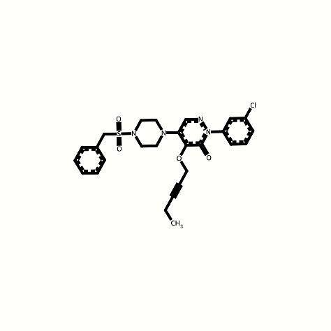 CCC#CCOc1c(N2CCN(S(=O)(=O)Cc3ccccc3)CC2)cnn(-c2cccc(Cl)c2)c1=O